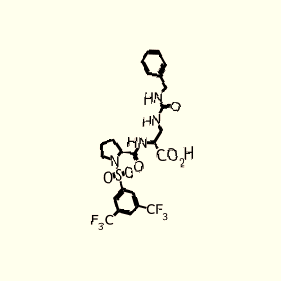 O=C(NCc1ccccc1)NC[C@H](NC(=O)[C@@H]1CCCN1S(=O)(=O)c1cc(C(F)(F)F)cc(C(F)(F)F)c1)C(=O)O